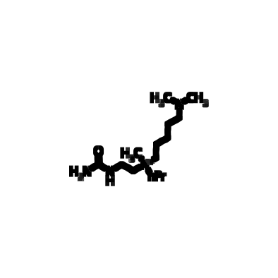 CCC[N+](C)(CCCCCN(C)C)CCNC(N)=O